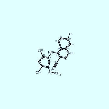 COc1cc(Nc2c(C#N)cnc3cc(F)ccc23)c(Cl)cc1Cl